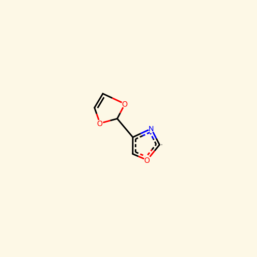 [c]1nc(C2OC=CO2)co1